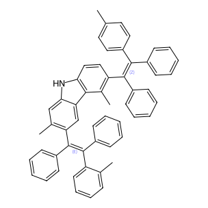 Cc1ccc(/C(=C(/c2ccccc2)c2ccc3[nH]c4cc(C)c(/C(=C(\c5ccccc5)c5ccccc5C)c5ccccc5)cc4c3c2C)c2ccccc2)cc1